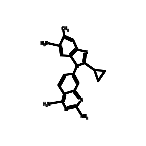 Cc1cc2nc(C3CC3)n(-c3ccc4c(N)nc(N)nc4c3)c2cc1C